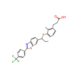 CCC(Sc1cccc(CCC(=O)O)c1C)c1ccc2nc(-c3ccc(C(F)(F)F)cc3)sc2c1